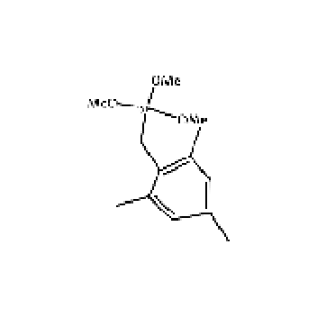 CO[Si](Cc1c(C)cc(C)cc1C)(OC)OC